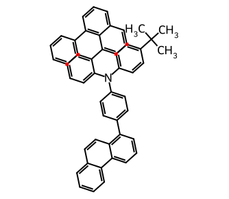 CC(C)(C)c1ccc(N(c2ccc(-c3cccc4c3ccc3ccccc34)cc2)c2ccccc2-c2cccc3cccc(-c4ccccc4)c23)cc1